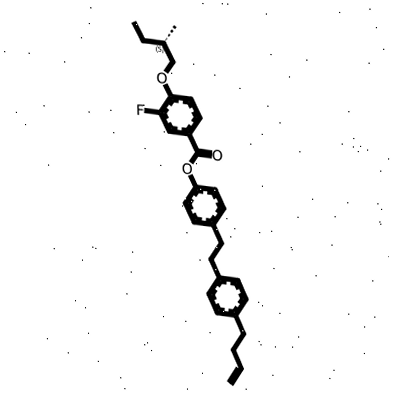 C=CCCc1ccc(CCc2ccc(OC(=O)c3ccc(OC[C@@H](C)CC)c(F)c3)cc2)cc1